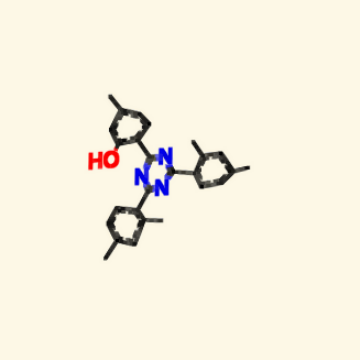 Cc1ccc(-c2nc(-c3ccc(C)cc3C)nc(-c3ccc(C)cc3O)n2)c(C)c1